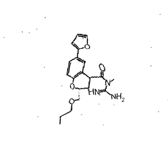 CCCOC[C@H]1CC(C(=O)N(C)C(=N)N)c2cc(-c3ccco3)ccc2O1